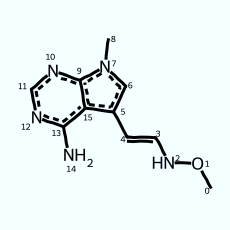 CON/C=C/c1cn(C)c2ncnc(N)c12